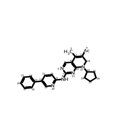 CC(=O)C1=C(C)c2cnc(Nc3ccc(-c4ccccc4)cn3)nc2N(C2CCCC2)C1